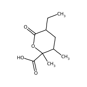 CCC1CC(C)C(C)(C(=O)O)OC1=O